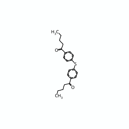 CCCCC(=O)c1ccc(Sc2ccc(C(=O)CCCC)cc2)cc1